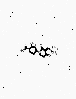 C[C@@H]1CC(N2CCC(=O)/C(=C\N(C)C)C2=O)CCN1C(=O)O